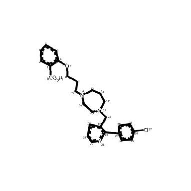 O=C(O)c1ccccc1OCCCN1CCCN(Cc2cccnc2-c2ccc(Cl)cc2)CC1